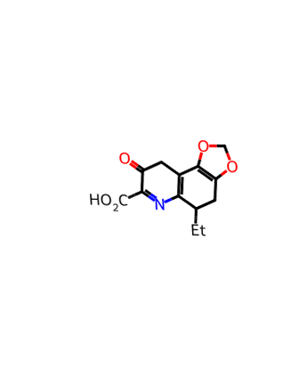 CCC1CC2=C(OCO2)C2=C1N=C(C(=O)O)C(=O)C2